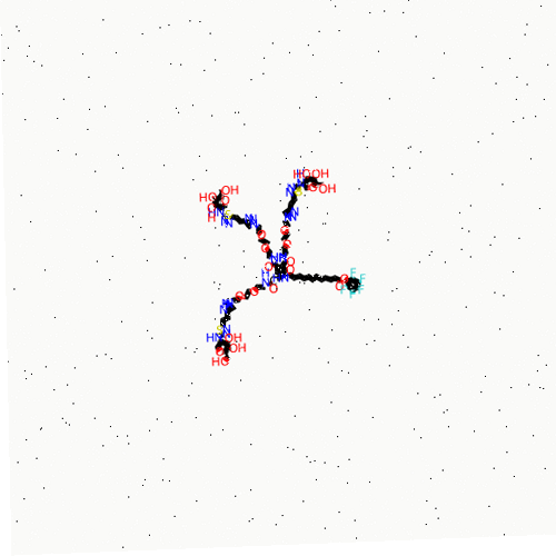 O=C(CCC(CCC(=O)NCCOCCOCCn1cc(CCc2nnc(N[C@H]3CO[C@H](CO)[C@H](O)[C@@H]3O)s2)nn1)(CCC(=O)NCCOCCOCCn1cc(CCc2nnc(N[C@H]3CO[C@H](CO)[C@H](O)[C@@H]3O)s2)nn1)NC(=O)CCCCCCCCCCC(=O)Oc1c(F)c(F)c(F)c(F)c1F)NCCOCCOCCn1cc(CCc2nnc(N[C@H]3CO[C@H](CO)[C@H](O)[C@@H]3O)s2)nn1